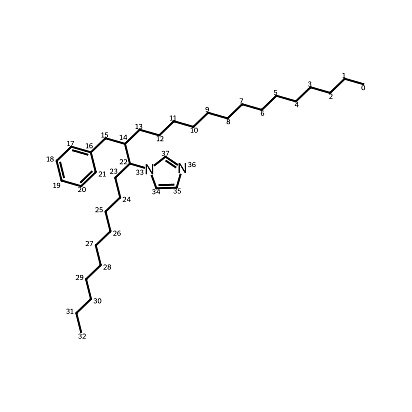 CCCCCCCCCCCCCCC(Cc1ccccc1)C(CCCCCCCCCC)n1ccnc1